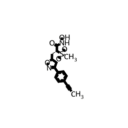 CC#Cc1ccc(C2=NOC(C[C@H](C(=O)NO)S(C)(=O)=O)C2)cc1